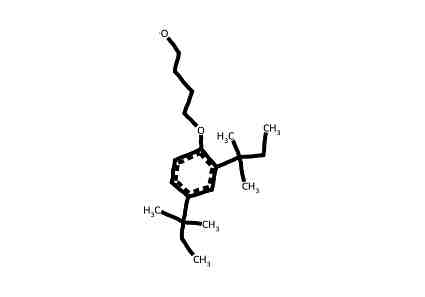 CCC(C)(C)c1ccc(OCCCC[O])c(C(C)(C)CC)c1